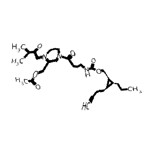 C#CCC[C@@H]1[C@H](CCC)[C@@H]1COC(=O)NCCC(=O)N1CCN(CC(=O)C(C)C)C(COC(C)=O)C1